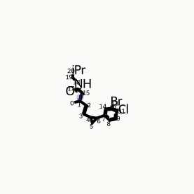 C/C(C=CC1CC1c1ccc(Cl)c(Br)c1)=C\C(=O)NCC(C)C